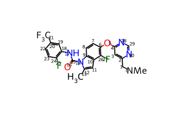 CNCc1cc(Oc2ccc3c(cc(C)n3C(=O)Nc3cc(C(F)(F)F)ccc3F)c2F)ncn1